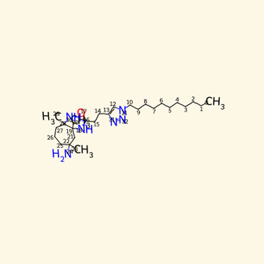 CCCCCCCCCCCn1cc(CCC(=O)NC2(C)CC(C)(N)CCCC2(C)N)nn1